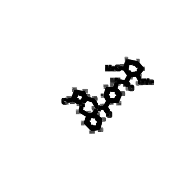 COc1cccc(OC)c1C(=O)Nc1ccc(C(=O)N2Cc3ccc(Cl)n3Cc3ccccc32)cc1